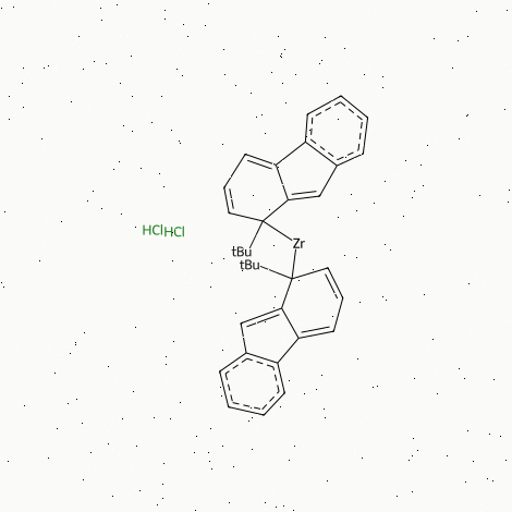 CC(C)(C)[C]1([Zr][C]2(C(C)(C)C)C=CC=C3C2=Cc2ccccc23)C=CC=C2C1=Cc1ccccc12.Cl.Cl